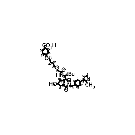 Cc1ncsc1-c1ccc(CNC(=O)[C@@H]2C[C@@H](O)CN2C(=O)C(NC(=O)COCCCCOc2ccc(C(=O)O)cc2)C(C)(C)C)cc1